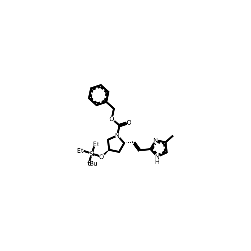 CC[Si](CC)(O[C@@H]1C[C@@H](C=Cc2nc(C)c[nH]2)N(C(=O)OCc2ccccc2)C1)C(C)(C)C